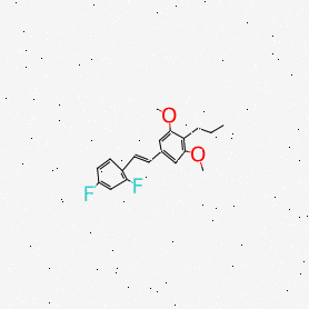 CCCc1c(OC)cc(/C=C/c2ccc(F)cc2F)cc1OC